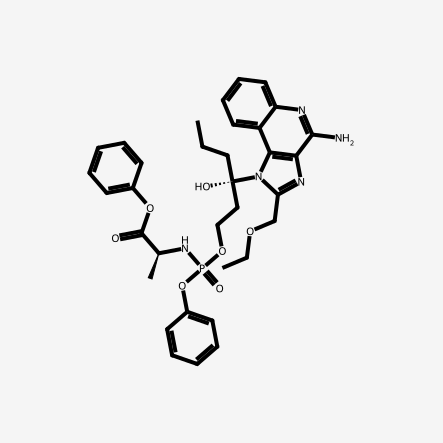 CCC[C@](O)(CCOP(=O)(N[C@@H](C)C(=O)Oc1ccccc1)Oc1ccccc1)n1c(COCC)nc2c(N)nc3ccccc3c21